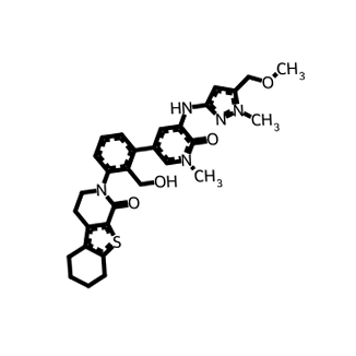 COCc1cc(Nc2cc(-c3cccc(N4CCc5c(sc6c5CCCC6)C4=O)c3CO)cn(C)c2=O)nn1C